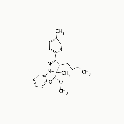 CCCCC1C(c2ccc(C)cc2)=NN(c2ccccc2)C1(C)C(=O)OC